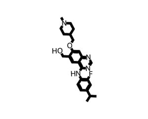 CC(C)c1ccc(Nc2ncnc3cc(OCC4CCN(C)CC4)c(CO)cc23)c(F)c1